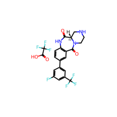 O=C(O)C(F)(F)F.O=C1Nc2ccc(-c3cc(F)cc(C(F)(F)F)c3)cc2C(=O)N2CCNC[C@@H]12